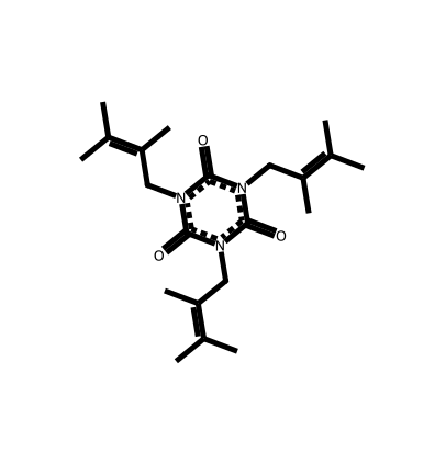 CC(C)=C(C)Cn1c(=O)n(CC(C)=C(C)C)c(=O)n(CC(C)=C(C)C)c1=O